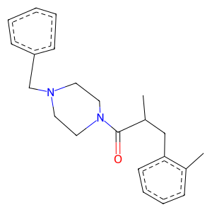 Cc1ccccc1CC(C)C(=O)N1CCN(Cc2ccccc2)CC1